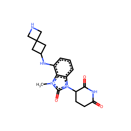 Cn1c(=O)n(C2CCC(=O)NC2=O)c2cccc(NC3CC4(CNC4)C3)c21